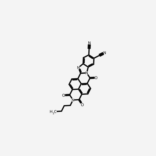 CCCCN1C(=O)c2ccc3c(=O)n4c5cc(C#N)c(C#N)cc5nc4c4ccc(c2c34)C1=O